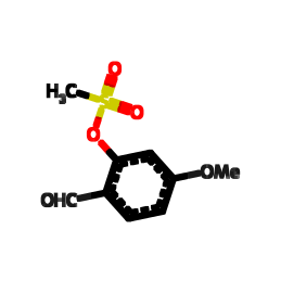 COc1ccc(C=O)c(OS(C)(=O)=O)c1